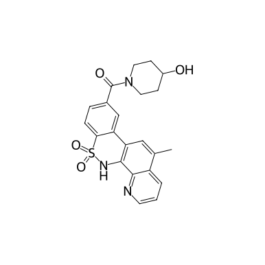 Cc1cc2c(c3ncccc13)NS(=O)(=O)c1ccc(C(=O)N3CCC(O)CC3)cc1-2